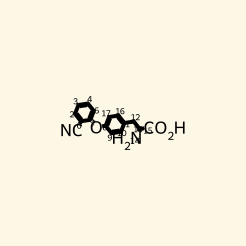 N#Cc1ccccc1Oc1ccc(CC(N)C(=O)O)cc1